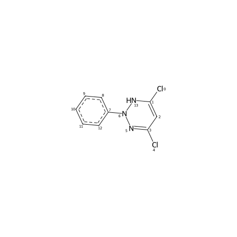 ClC1=CC(Cl)=NN(c2ccccc2)N1